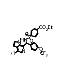 CCOC(=O)c1ccc(S(=O)(=O)NC(c2ccc(OC(F)(F)F)cc2)c2ncc(Cl)c3ccn(C)c23)cc1